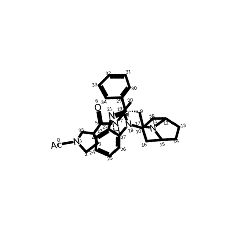 CC(=O)N1CCC(C(=O)N[C@@H](CCN2C3CCC2CC(n2c(C)nc4ccccc42)C3)c2ccccc2)C1